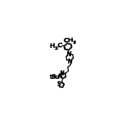 Cc1ccc(N2CCN(CCCc3cc(-c4cccs4)n(C(C)(C)C)n3)CC2)cc1C